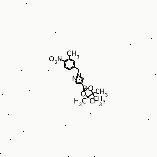 Cc1cc(Cn2cc(B3OC(C)(C)C(C)(C)O3)cn2)ccc1[N+](=O)[O-]